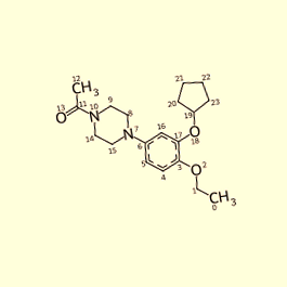 CCOc1ccc(N2CCN(C(C)=O)CC2)cc1OC1CCCC1